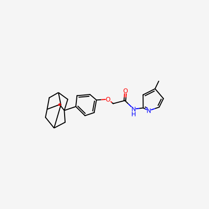 Cc1ccnc(NC(=O)COc2ccc(C34CC5CC(CC(C5)C3)C4)cc2)c1